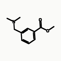 COC(=O)c1cccc(CN(C)C)c1